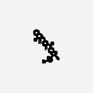 C#CC1N=C2CN(C(=O)c3cc(CN4Cc5ccccc5C(=O)N4)ccc3F)CCN2C1c1ccc(Br)o1